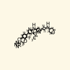 C[C@@H](Cn1cnnn1)Oc1cc(-c2cnc(Nc3cn([C@H]4C[C@H](NC5CCOCC5)C4)nc3OCC(F)(F)F)nc2)ccc1Cl